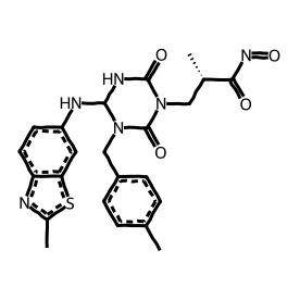 Cc1ccc(CN2C(=O)N(C[C@H](C)C(=O)N=O)C(=O)NC2Nc2ccc3nc(C)sc3c2)cc1